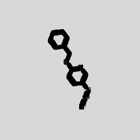 [N-]=[N+]=Nc1ccc(OCc2ccccc2)nc1